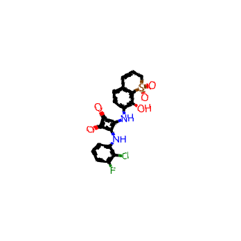 O=c1c(Nc2ccc3c(c2O)S(=O)(=O)CC=C3)c(Nc2cccc(F)c2Cl)c1=O